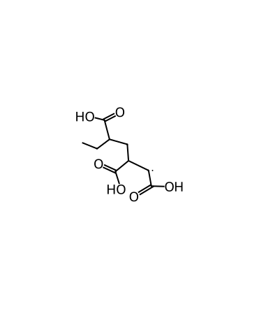 CCC(CC([CH]C(=O)O)C(=O)O)C(=O)O